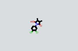 CC1=C(C)C(O)N(c2ccc(Cl)c(Cl)c2)C1=O